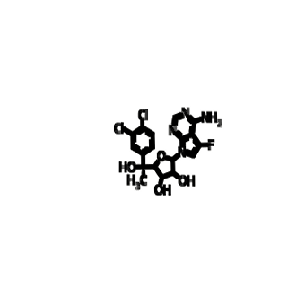 C[C@@](O)(c1ccc(Cl)c(Cl)c1)C1OC(n2cc(F)c3c(N)ncnc32)C(O)C1O